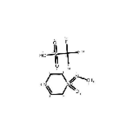 CN=S1(=O)CC=NCC1.O=S(=O)(O)C(F)(F)F